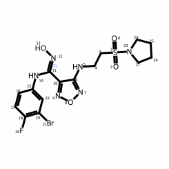 O=S(=O)(CCNc1nonc1/C(=N/O)Nc1ccc(F)c(Br)c1)N1CCCC1